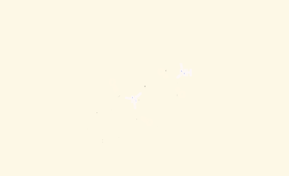 C#CCNS(=O)(=O)CCN1C(=O)c2ccccc2C1=O